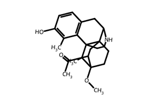 COC12CCC3(CC1C(C)=O)C1Cc4ccc(O)c(C)c4C3(CCN1)C2C